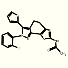 CC(=O)Nc1nc2c(s1)-c1nn(-c3ccccc3Cl)c(-c3ccco3)c1CC2